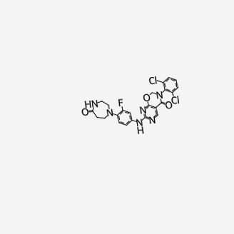 O=C1CCN(c2ccc(Nc3ncc4c(n3)OCN(c3c(Cl)cccc3Cl)C4=O)cc2F)CCN1